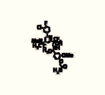 CNC(C)(C)c1cc(-c2ccc(F)c(Cl)c2)nc(C(O)(CNC(=O)c2ccc(OCC(N)=O)c(OC)c2)C(F)(F)F)c1